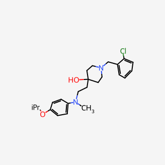 CC(C)Oc1ccc(N(C)CCC2(O)CCN(Cc3ccccc3Cl)CC2)cc1